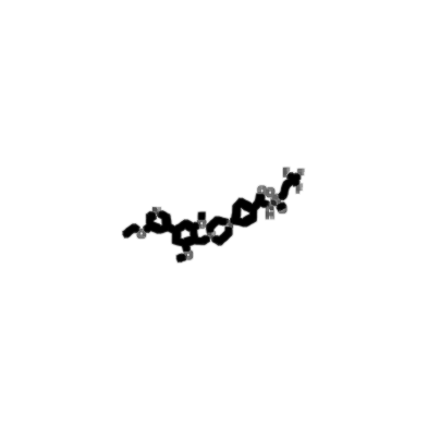 CCOc1cncc(-c2cc(OC)c(CN3CCN(c4ccc(C(=O)NS(=O)(=O)CCC(F)(F)F)cc4)CC3)c(OC)c2)c1